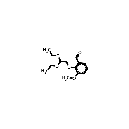 CCOC(COc1c(C=O)cccc1OC)OCC